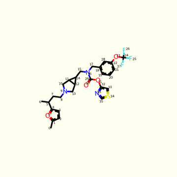 Cc1ccc(C(C)CCN2CC3C(C2)C3CN(Cc2cccc(OC(F)(F)F)c2)C(=O)Oc2cscn2)o1